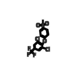 CS(=O)(=O)c1ccc(Oc2c(Cl)cc(C(F)(F)F)cc2Cl)cc1